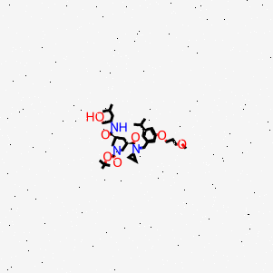 COCCCOc1cc(CN(C(=O)[C@@H]2C[C@H](C(=O)NC(CO)CC(C)C)CN(C(=O)OC(C)(C)C)C2)C2CC2)cc(C(C)C)c1